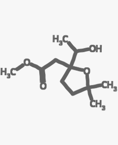 COC(=O)CC1(C(C)O)CCC(C)(C)O1